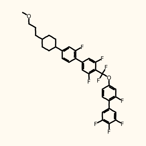 COCCCC1CCC(c2ccc(-c3cc(F)c(C(F)(F)Oc4ccc(-c5cc(F)c(F)c(F)c5)c(F)c4)c(F)c3)c(F)c2)CC1